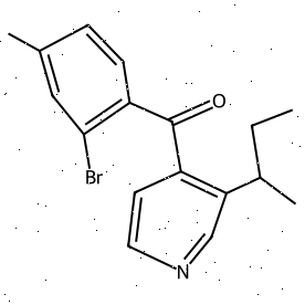 CCC(C)c1cnccc1C(=O)c1ccc(C)cc1Br